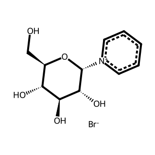 OC[C@H]1O[C@H]([n+]2ccccc2)[C@H](O)[C@@H](O)[C@@H]1O.[Br-]